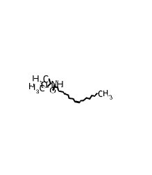 CCCCCCCC/C=C\CCCCCCCC(=O)NC(CC)COC